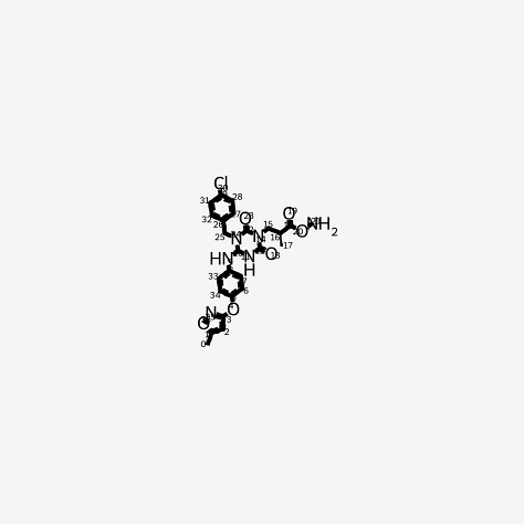 Cc1cc(Oc2ccc(NC3NC(=O)N(C[C@H](C)C(=O)ON)C(=O)N3Cc3ccc(Cl)cc3)cc2)no1